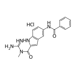 CN(C(=N)N)C(=O)c1cc2cc(NC(=O)c3ccccc3)ccc2[nH]1.Cl